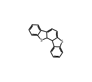 C1=C2c3ccccc3SC2C2C(=C1)Sc1ccccc12